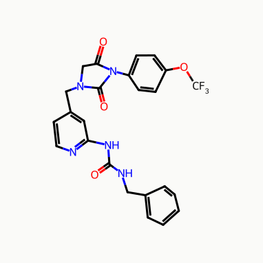 O=C(NCc1ccccc1)Nc1cc(CN2CC(=O)N(c3ccc(OC(F)(F)F)cc3)C2=O)ccn1